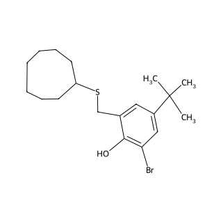 CC(C)(C)c1cc(Br)c(O)c(CSC2CCCCCCC2)c1